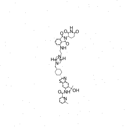 Cc1cccc(C(=O)Nc2cc3sc([C@H]4CC[C@H](CN5C[C@@H]6C[C@H]5CN6CCNc5cccc6c5C(=O)N(C5CCC(=O)NC5=O)C6=O)CC4)nc3cc2C(C)(C)O)n1